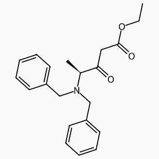 CCOC(=O)CC(=O)[C@H](C)N(Cc1ccccc1)Cc1ccccc1